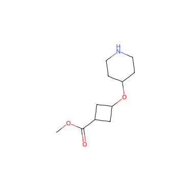 COC(=O)C1CC(OC2CCNCC2)C1